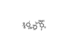 Cc1cc(Nc2nccc(N(C)c3n[nH]c4cc(F)c(F)cc34)n2)cc(S(C)(=O)=O)c1